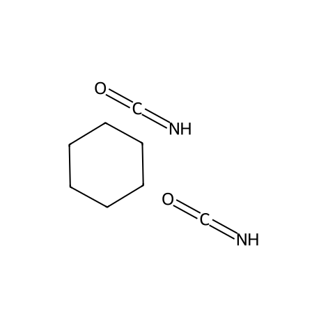 C1CCCCC1.N=C=O.N=C=O